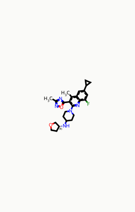 Cc1noc(-c2c(N3CCC(N[C@@H]4CCOC4)CC3)nc3c(F)cc(C4CC4)cc3c2C)n1